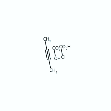 CC#CC.O=C(O)O.O=C(O)O